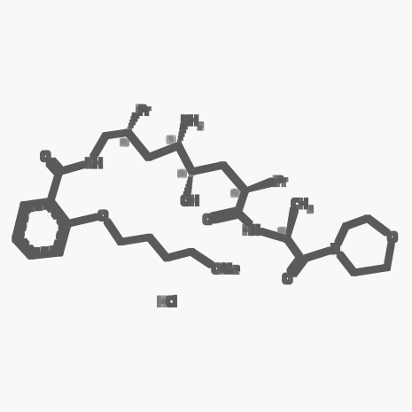 COCCCCOc1ccccc1C(=O)NC[C@@H](C[C@H](N)[C@@H](O)C[C@H](C(=O)N[C@@H](C)C(=O)N1CCOCC1)C(C)C)C(C)C.Cl